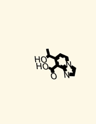 CC(O)c1ccn2ccnc2c1C(=O)O